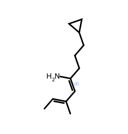 CC=C(C)/C=C(\N)CCCC1CC1